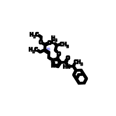 CCOC(=O)/C(=C/Cn1ncc(C(=O)NC(C)C2CC3CCCC(C3)C2)c1OCC(C)C)CC